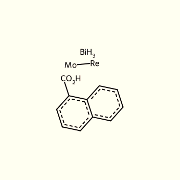 O=C(O)c1cccc2ccccc12.[BiH3].[Mo][Re]